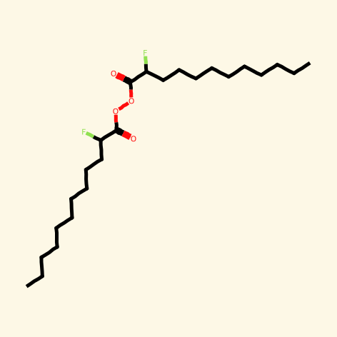 CCCCCCCCCCC(F)C(=O)OOC(=O)C(F)CCCCCCCCCC